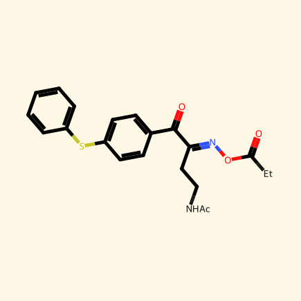 CCC(=O)O/N=C(\CCNC(C)=O)C(=O)c1ccc(Sc2ccccc2)cc1